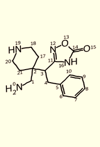 NCC1(C(Cc2ccccc2)c2noc(=O)[nH]2)CCNCC1